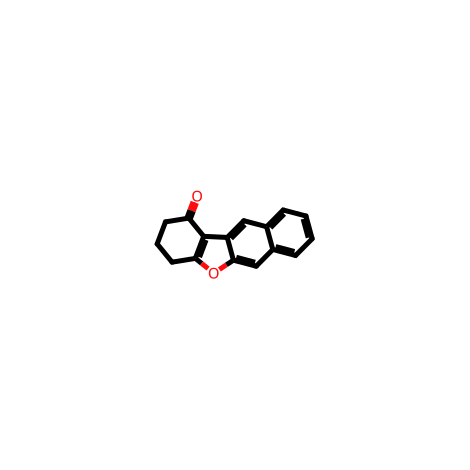 O=C1CCCc2oc3cc4ccccc4cc3c21